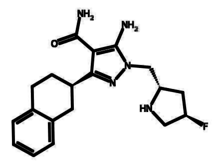 NC(=O)c1c([C@@H]2CCc3ccccc3C2)nn(C[C@@H]2C[C@@H](F)CN2)c1N